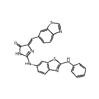 O=C1NC(Nc2ccc3nc(Nc4ccccc4)sc3c2)=NC1=Cc1ccc2ncsc2c1